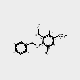 O=C(O)c1cc(=O)c(OCc2ccccc2)c(CCl)[nH]1